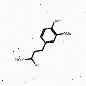 CCOC(=O)C(CCc1ccc(OC)c(OC)c1)C(C)=O